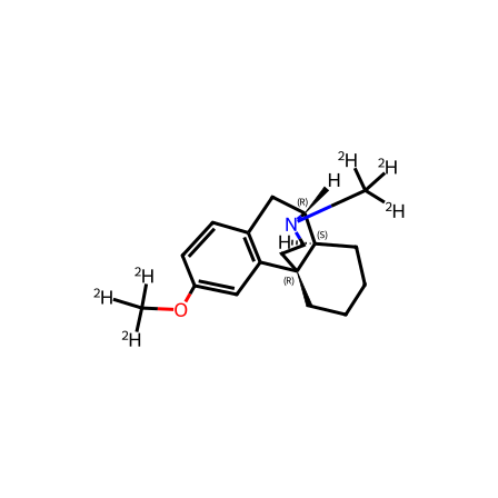 [2H]C([2H])([2H])Oc1ccc2c(c1)[C@@]13CCCC[C@@H]1[C@@H](C2)N(C([2H])([2H])[2H])CC3